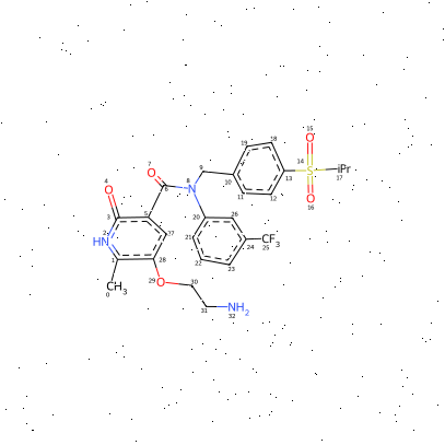 Cc1[nH]c(=O)c(C(=O)N(Cc2ccc(S(=O)(=O)C(C)C)cc2)c2cccc(C(F)(F)F)c2)cc1OCCN